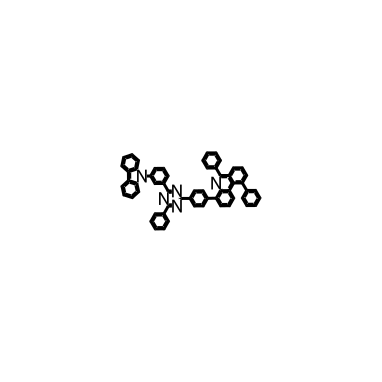 c1ccc(-c2nc(-c3ccc(-c4cccc5c4nc(-c4ccccc4)c4cccc(-c6ccccc6)c45)cc3)nc(-c3cccc(-n4c5ccccc5c5ccccc54)c3)n2)cc1